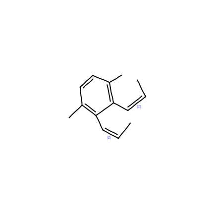 C/C=C\c1c(C)ccc(C)c1/C=C\C